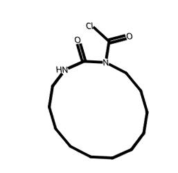 O=C(Cl)N1CCCCCCCCCCCNC1=O